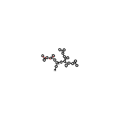 N#Cc1ccc(-c2nc(-c3ccc(-c4cc(-n5c6ccccc6c6cc(-c7ccc8c(c7)c7ccccc7n8-c7ccccc7)ccc65)cc(-n5c6ccccc6c6cc(-c7ccc8c(c7)c7ccccc7n8-c7ccccc7)ccc65)c4)cc3)cc(-c3ccc(-n4c5ccccc5c5cc(-c6ccc7c(c6)c6ccccc6n7-c6ccccc6)ccc54)cc3)n2)cc1